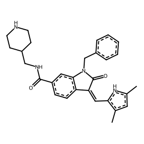 Cc1cc(C)c(/C=C2\C(=O)N(Cc3ccccc3)c3cc(C(=O)NCC4CCNCC4)ccc32)[nH]1